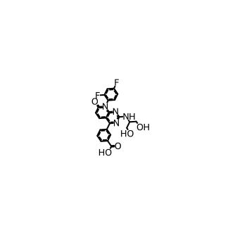 O=C(O)c1cccc(-c2nc(NC(CO)CO)nc3c2ccc(=O)n3-c2ccc(F)cc2F)c1